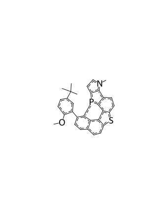 COc1ccc(C(C)(C)C)cc1-c1ccc2ccc3sc4ccc5c6c(ccn6C)p6c1c2c3c4c56